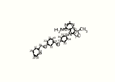 CC1OCc2c1c1ncnc(N)c1n2-c1ccc(Oc2cccc(OCc3ccccn3)c2)cc1